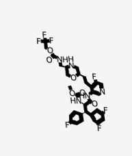 COC(=O)N[C@H](C(=O)Nc1cncc(F)c1CC[C@@H]1CN[C@H](CNC(=O)OCC(F)(F)F)CO1)[C@@H](c1ccc(F)cc1)c1cc(F)cc(F)c1